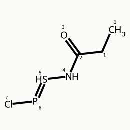 CCC(=O)N[SH]=PCl